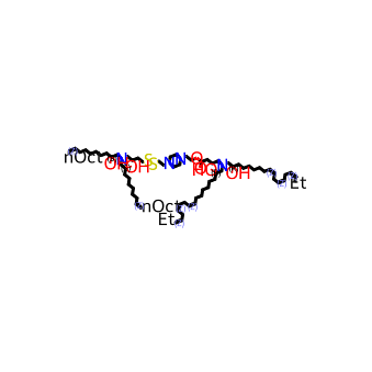 CC/C=C\C/C=C\C/C=C\CCCCCC[C@@H](O)CN(CCCC(=O)OCCN1CCN(CCSSCCCCN(C[C@@H](O)CCCCCC/C=C\CCCCCCCC)C[C@@H](O)CCCCCC/C=C\CCCCCCCC)CC1)C[C@H](O)CCCCCC/C=C\C/C=C\C/C=C\CC